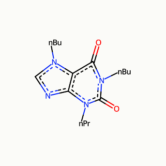 CCCCn1c(=O)c2c(ncn2CCCC)n(CCC)c1=O